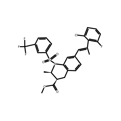 COC(=O)[C@@H]1Cc2ccc(/C=C(\C)c3c(F)cccc3Cl)cc2N(S(=O)(=O)c2cccc(C(F)(F)F)c2)[C@@H]1C